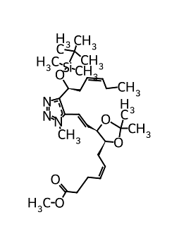 CC/C=C\C[C@H](O[Si](C)(C)C(C)(C)C)c1nnn(C)c1/C=C/[C@H]1OC(C)(C)O[C@H]1C/C=C\CCC(=O)OC